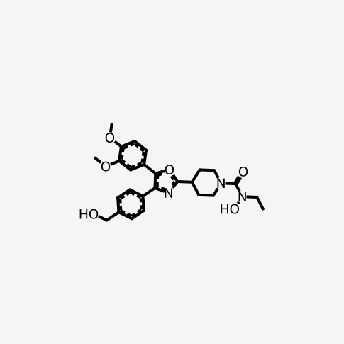 CCN(O)C(=O)N1CCC(c2nc(-c3ccc(CO)cc3)c(-c3ccc(OC)c(OC)c3)o2)CC1